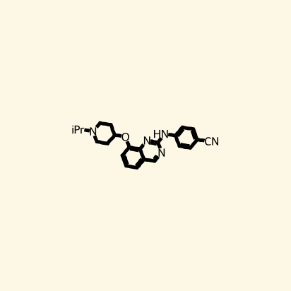 CC(C)N1CCC(Oc2cccc3cnc(Nc4ccc(C#N)cc4)nc23)CC1